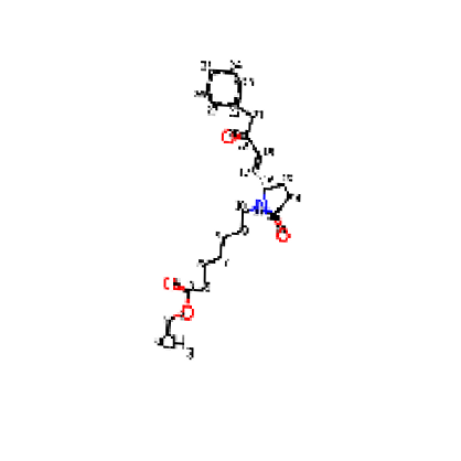 CCOC(=O)CCCCCCN1C(=O)CC[C@H]1C=CC(=O)Cc1ccccc1